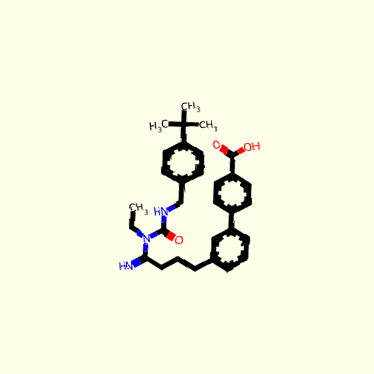 CCN(C(=N)CCCc1cccc(-c2ccc(C(=O)O)cc2)c1)C(=O)NCc1ccc(C(C)(C)C)cc1